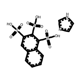 O=S(=O)(O)c1cc2ccccc2c(S(=O)(=O)O)c1S(=O)(=O)O.c1c[nH]cn1